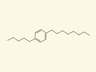 [CH2]CCCCc1ccc(CCCCCCCC)cc1